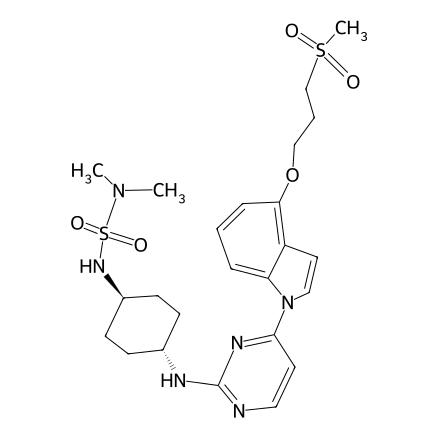 CN(C)S(=O)(=O)N[C@H]1CC[C@H](Nc2nccc(-n3ccc4c(OCCCS(C)(=O)=O)cccc43)n2)CC1